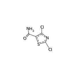 NC(=O)c1sc(Cl)nc1Cl